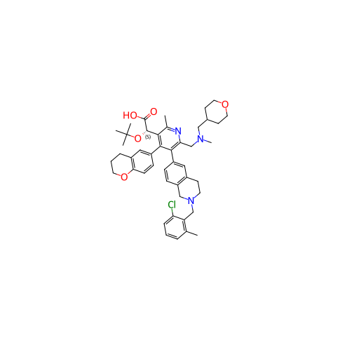 Cc1cccc(Cl)c1CN1CCc2cc(-c3c(CN(C)CC4CCOCC4)nc(C)c([C@H](OC(C)(C)C)C(=O)O)c3-c3ccc4c(c3)CCCO4)ccc2C1